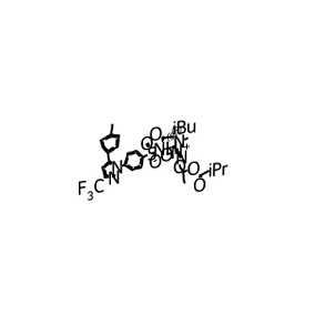 CC[C@@H](C)[C@@H](C(=O)NS(=O)(=O)c1ccc(-n2nc(C(F)(F)F)cc2-c2ccc(C)cc2)cc1)N(C)[N+]([O-])=NOC(C)OC(=O)C(C)C